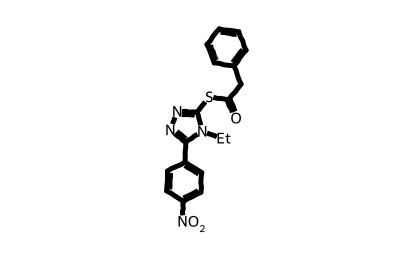 CCn1c(SC(=O)Cc2ccccc2)nnc1-c1ccc([N+](=O)[O-])cc1